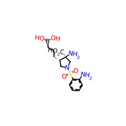 Nc1ccccc1S(=O)(=O)N1C[C@H](CCCB(O)O)[C@](N)(C(=O)O)C1